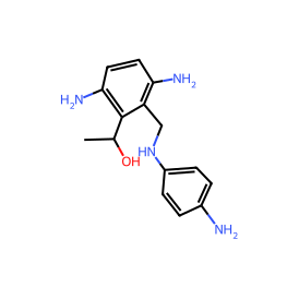 CC(O)c1c(N)ccc(N)c1CNc1ccc(N)cc1